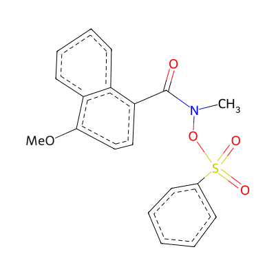 COc1ccc(C(=O)N(C)OS(=O)(=O)c2ccccc2)c2ccccc12